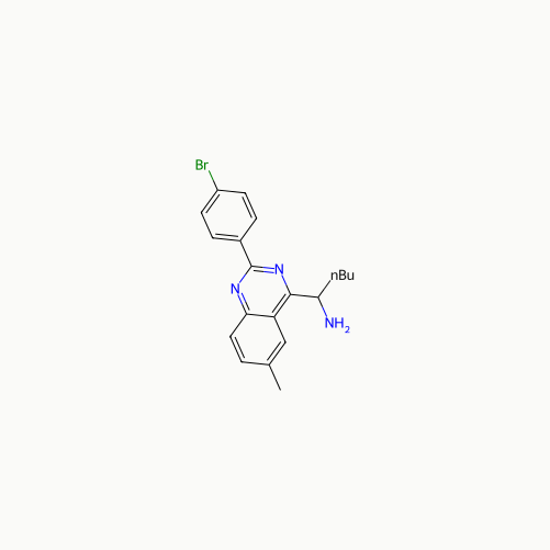 CCCCC(N)c1nc(-c2ccc(Br)cc2)nc2ccc(C)cc12